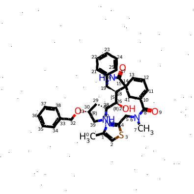 Cc1csc(CN(C)C(=O)C2=CC=CC(C(N)=O)([C@H](Cc3ccccc3)[C@@H](O)[C@H]3C[C@@H](OCc4ccccc4)CN3)C2)n1